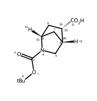 CC(C)(C)OC(=O)N1C[C@@H]2C[C@H]1C[C@@H]2C(=O)O